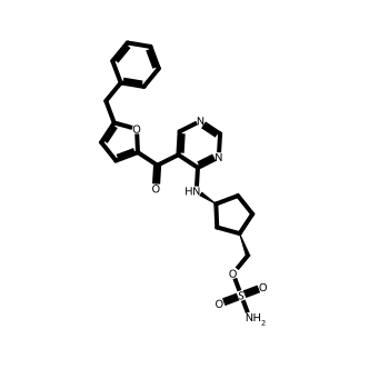 NS(=O)(=O)OC[C@@H]1CC[C@H](Nc2ncncc2C(=O)c2ccc(Cc3ccccc3)o2)C1